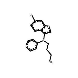 CCCCN(c1ccncc1)c1csc2cc(Cl)ccc12